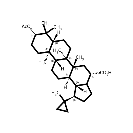 CC(=O)O[C@H]1CC[C@]2(C)[C@H]3CC[C@@H]4[C@@H]5C(CC[C@H]5C5(C)CC5)[C@@H](C(=O)O)C[C@@]4(C)[C@]3(C)CC[C@H]2C1(C)C